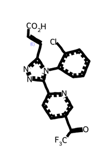 O=C(O)/C=C/c1nnc(-c2ccc(C(=O)C(F)(F)F)cn2)n1-c1ccccc1Cl